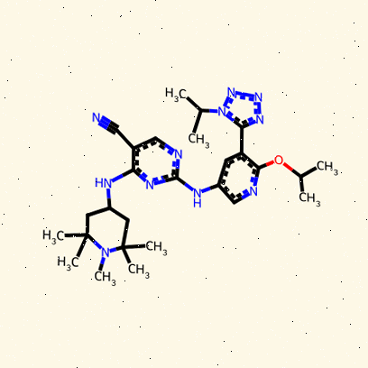 CC(C)Oc1ncc(Nc2ncc(C#N)c(NC3CC(C)(C)N(C)C(C)(C)C3)n2)cc1-c1nnnn1C(C)C